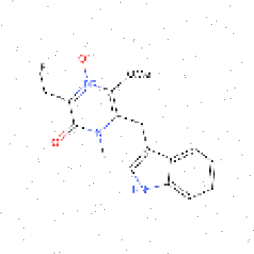 COc1c(Cc2c[nH]c3ccccc23)n(C)c(=O)c(CC(C)C)[n+]1[O-]